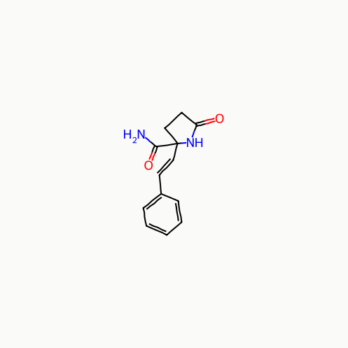 NC(=O)C1(C=Cc2ccccc2)CCC(=O)N1